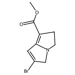 COC(=O)C1=C2C=C(Br)CN2CC1